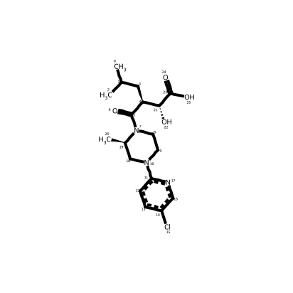 CC(C)C[C@H](C(=O)N1CCN(c2ccc(Cl)cn2)C[C@H]1C)[C@@H](O)C(=O)O